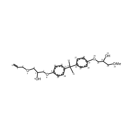 C=CCOCC(O)COc1ccc(C(C)(C)c2ccc(OCC(O)COC)cc2)cc1